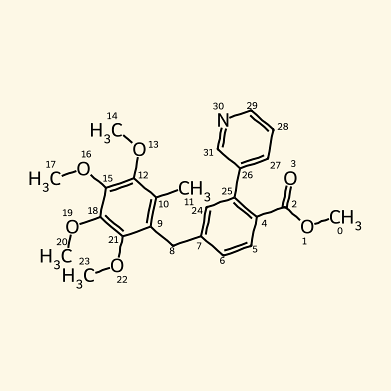 COC(=O)c1ccc(Cc2c(C)c(OC)c(OC)c(OC)c2OC)cc1-c1cccnc1